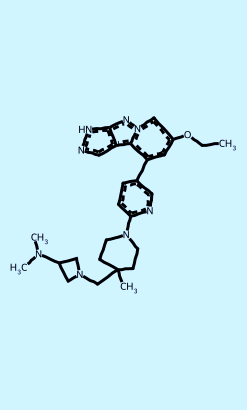 CCOc1cc(-c2ccc(N3CCC(C)(CN4CC(N(C)C)C4)CC3)nc2)c2c3cn[nH]c3nn2c1